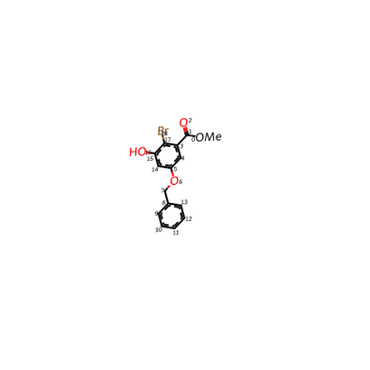 COC(=O)c1cc(OCc2ccccc2)cc(O)c1Br